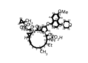 CC[C@@H]1C[C@H](C)CCC=C[C@@H]2C[C@@]2(C(=O)NS(=O)(=O)C2(C)CC2)NC(=O)[C@@H]2C[C@@H](Oc3ncc(N4CCOCC4)c4cc(OC)ccc34)CN2C(=O)[C@H]1NC(=O)O